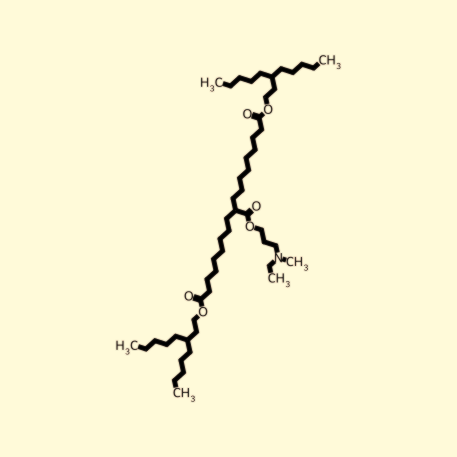 CCCCCC(CCCCC)CCOC(=O)CCCCCCCCC(CCCCCCCCC(=O)OCCC(CCCCC)CCCCC)C(=O)OCCCN(C)CC